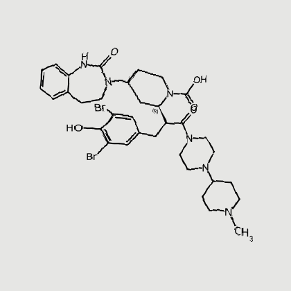 CN1CCC(N2CCN(C(=O)C(Cc3cc(Br)c(O)c(Br)c3)[C@H]3CC(N4CCc5ccccc5NC4=O)CCN3C(=O)O)CC2)CC1